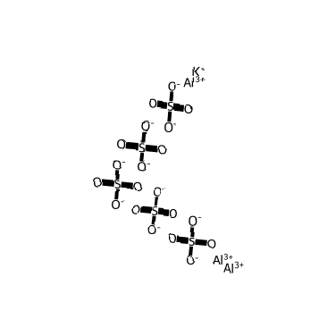 O=S(=O)([O-])[O-].O=S(=O)([O-])[O-].O=S(=O)([O-])[O-].O=S(=O)([O-])[O-].O=S(=O)([O-])[O-].[Al+3].[Al+3].[Al+3].[K+]